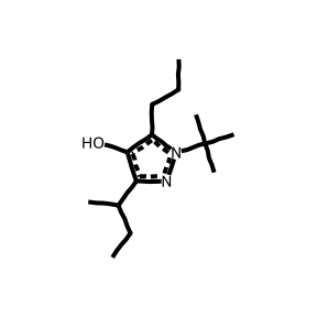 CCCc1c(O)c(C(C)CC)nn1C(C)(C)C